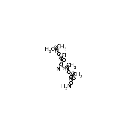 COc1c(-c2ccc(N3C[C@H](C)C[C@H](Cc4cc(-c5cccc6c(Cl)c(-c7ccc(N8C[C@@H](C)O[C@@H](C)C8)cc7)cnc56)ccc4C#N)C3)cc2)cnc2c(-c3ccc(N)cc3)cccc12